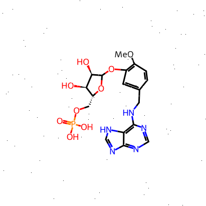 COc1ccc(CNc2ncnc3nc[nH]c23)cc1OC1O[C@H](COP(=O)(O)O)[C@@H](O)[C@H]1O